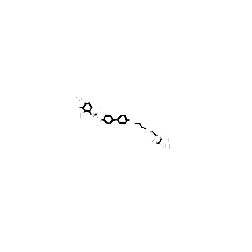 CC(C)(C)[C@H](NC(=O)COCCCCOc1ccc(-c2ccc(NC(=S)Nc3ccc(C#N)c(Cl)c3F)cc2)cc1)C(N)=O